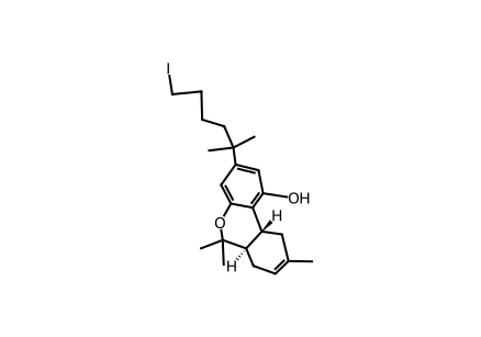 CC1=CC[C@@H]2[C@@H](C1)c1c(O)cc(C(C)(C)CCCCI)cc1OC2(C)C